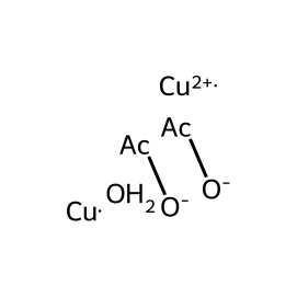 CC(=O)[O-].CC(=O)[O-].O.[Cu+2].[Cu]